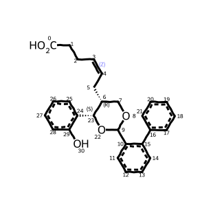 O=C(O)CC/C=C\C[C@@H]1COC(c2ccccc2-c2ccccc2)O[C@@H]1c1ccccc1O